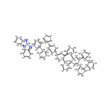 c1ccc2c(c1)-c1ccc(-c3ccc4c5ccccc5c5cc6c7ccccc7c7ccccc7c7ccccc7c6cc5c5ccccc5c4c3)cc1-c1ccccc1-c1cc(-n3c4ccccc4n4c5ccccc5nc34)ccc1-2